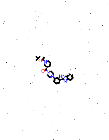 C=C(OC(C)(C)C)N1CCCC(C(=O)N2CCN(c3cccc(-c4nc5ccccc5[nH]4)c3)CC2)C1